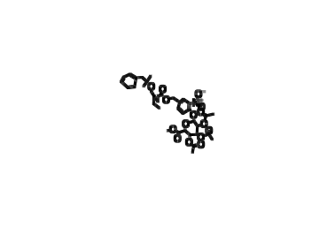 CCN(COC(C)(C)Cc1ccccc1)C(=O)OCc1ccc(O[C@@H]2OC(C(=O)OC)C(OC(C)=O)[C@H](OC(C)=O)C2OC(C)=O)c([N+](=O)[O-])c1